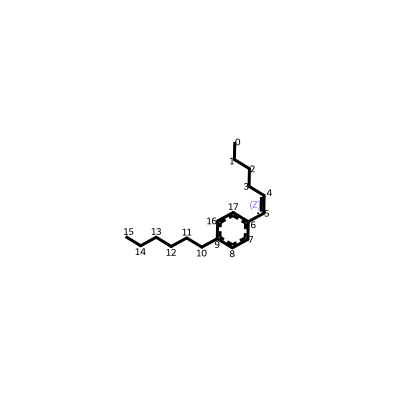 CCCC/C=[C]\c1ccc(CCCCCC)cc1